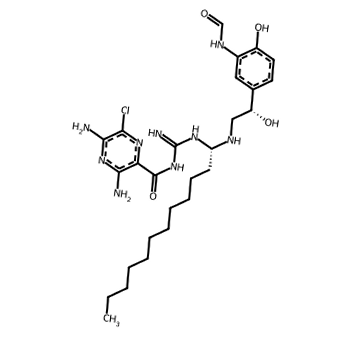 CCCCCCCCCCC[C@@H](NC[C@@H](O)c1ccc(O)c(NC=O)c1)NC(=N)NC(=O)c1nc(Cl)c(N)nc1N